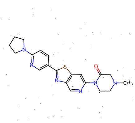 CN1CCN(c2cc3sc(-c4ccc(N5CCCC5)nc4)nc3cn2)C(=O)C1